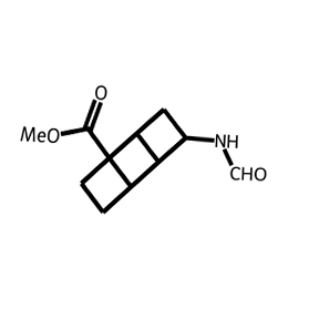 COC(=O)C12C3C4C1C1C2C3C41NC=O